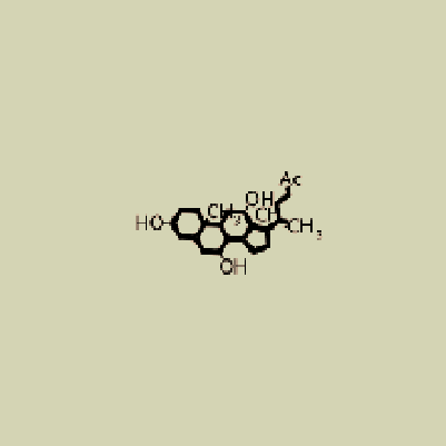 CC(=O)CCC(C)C1CCC2C3C(C[C@H](O)[C@]12C)[C@@]1(C)CC[C@@H](O)CC1C[C@H]3O